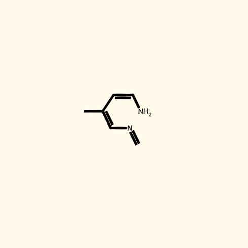 C=N/C=C(C)\C=C/N